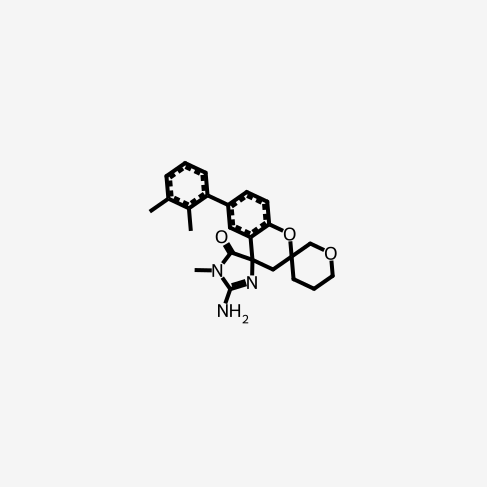 Cc1cccc(-c2ccc3c(c2)C2(CC4(CCCOC4)O3)N=C(N)N(C)C2=O)c1C